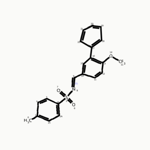 Cc1ccc(S(=O)(=O)/N=C/c2ccc(OC(F)(F)F)c(-c3ccccc3)c2)cc1